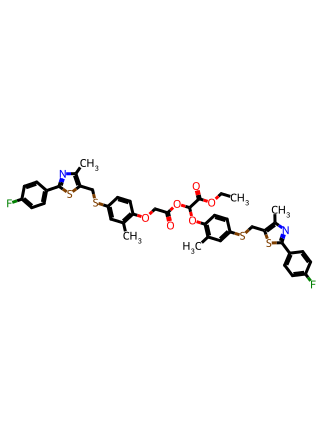 CCOC(=O)C(OC(=O)COc1ccc(SCc2sc(-c3ccc(F)cc3)nc2C)cc1C)Oc1ccc(SCc2sc(-c3ccc(F)cc3)nc2C)cc1C